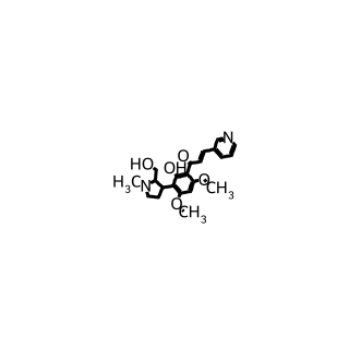 COc1cc(OC)c(C2CCN(C)C2CO)c(O)c1C(=O)/C=C/c1cccnc1